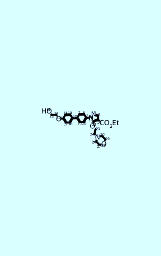 CCOC(=O)c1cnn(-c2ccc(-c3ccc(OCCO)cc3)cc2)c1OCCN1CCOCC1